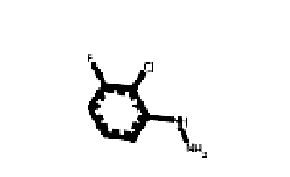 NNc1cccc(F)c1Cl